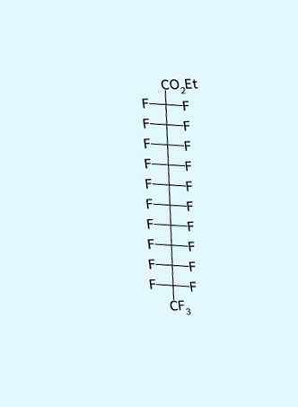 CCOC(=O)C(F)(F)C(F)(F)C(F)(F)C(F)(F)C(F)(F)C(F)(F)C(F)(F)C(F)(F)C(F)(F)C(F)(F)C(F)(F)F